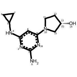 Nc1nc(NC2CC2)cc(N2CC[C@H](O)C2)n1